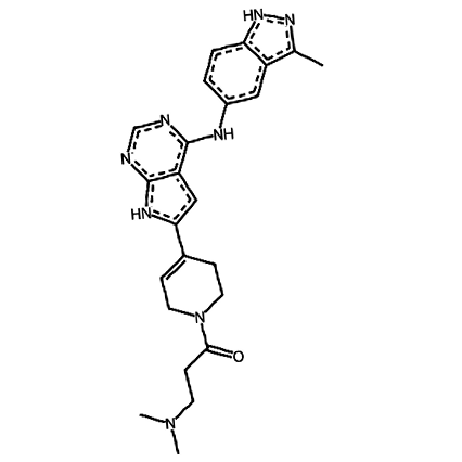 Cc1n[nH]c2ccc(Nc3ncnc4[nH]c(C5=CCN(C(=O)CCN(C)C)CC5)cc34)cc12